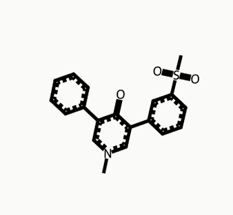 Cn1cc(-c2ccccc2)c(=O)c(-c2cccc(S(C)(=O)=O)c2)c1